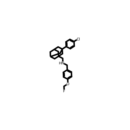 FCOc1ccc(CNCC23CC4CC(C2)CC(c2ccc(Cl)cc2)(C4)C3)cc1